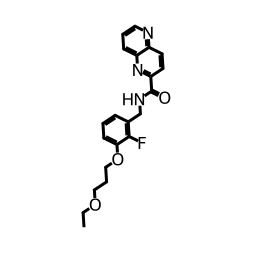 CCOCCCOc1cccc(CNC(=O)c2ccc3ncccc3n2)c1F